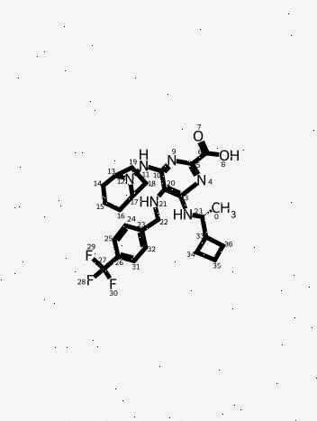 C[C@@H](Nc1nc(C(=O)O)nc(NN2C3CCCC2CC3)c1NCc1ccc(C(F)(F)F)cc1)C1CCC1